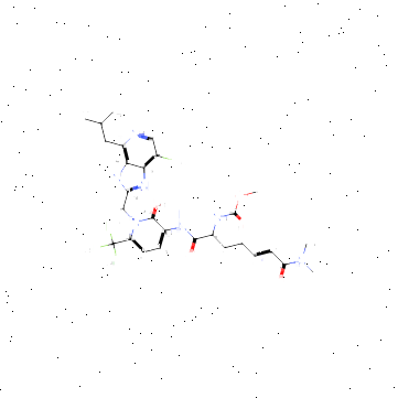 COC(=O)NC(CC/C=C/C(=O)N(C)C)C(=O)Nc1ccc(C(F)(F)F)n(Cc2nc3c(F)cnc(CC(C)C)c3[nH]2)c1=O